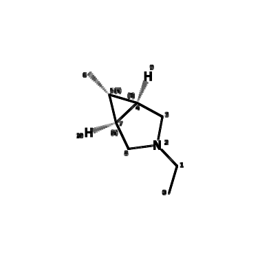 CCN1C[C@@H]2[C@@H](C)[C@@H]2C1